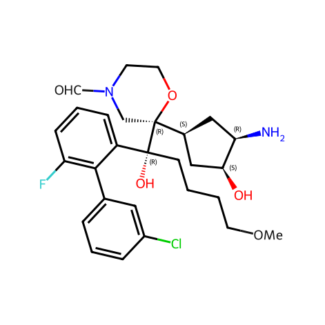 COCCCC[C@@](O)(c1cccc(F)c1-c1cccc(Cl)c1)[C@@]1([C@H]2C[C@@H](N)[C@@H](O)C2)CN(C=O)CCO1